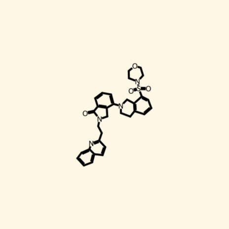 O=C1c2cccc(N3CCc4cccc(S(=O)(=O)N5CCOCC5)c4C3)c2CN1CCc1ccc2ccccc2n1